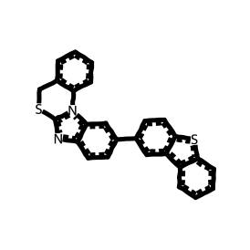 c1ccc2c(c1)CSc1nc3ccc(-c4ccc5sc6ccccc6c5c4)cc3n1-2